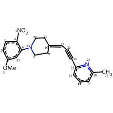 COc1ccc([N+](=O)[O-])c(N2CCC(=CC#Cc3cccc(C)n3)CC2)c1